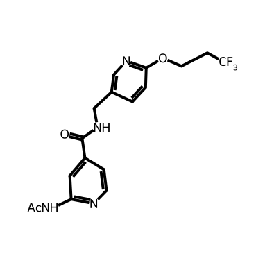 CC(=O)Nc1cc(C(=O)NCc2ccc(OCCC(F)(F)F)nc2)ccn1